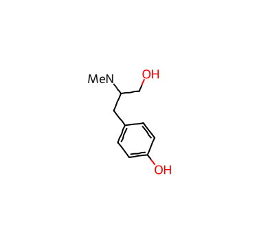 [CH2+][N-]C(CO)Cc1ccc(O)cc1